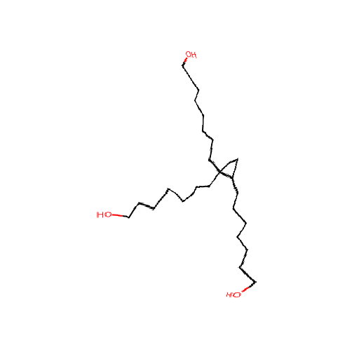 OCCCCCCCC1CC1(CCCCCCCO)CCCCCCCO